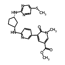 COC(=O)c1cc(-c2ccc(N[C@H]3CC[C@H](Nc4ncc(SC)cn4)C3)nc2)c(=O)n(C)c1